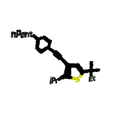 CCCCCc1ccc(C#Cc2cc(C(C)(C)CC)sc2C(C)C)cc1